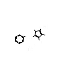 CC1=C(C)C(C)[C]([Ti][O]c2ccccc2)=C1C.Cl.Cl